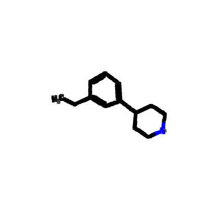 CCc1cccc(C2CC[N]CC2)c1